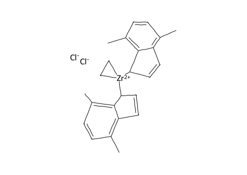 Cc1ccc(C)c2c1C=C[CH]2[Zr+2]1([CH]2C=Cc3c(C)ccc(C)c32)[CH2][CH2]1.[Cl-].[Cl-]